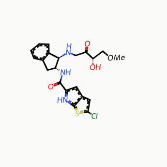 COC[C@H](O)C(=O)CN[C@@H]1c2ccccc2C[C@H]1NC(=O)c1cc2cc(Cl)sc2[nH]1